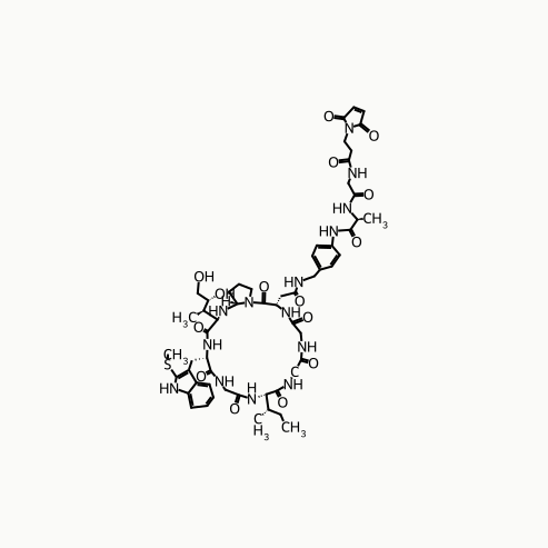 CC[C@H](C)[C@@H]1NC(=O)CNC(=O)[C@H](Cc2c(SC)[nH]c3ccccc23)NC(=O)[C@H]([C@@H](C)[C@@H](O)CO)N[C@@H]2CCCN2C(=O)[C@H](CC(=O)NCc2ccc(NC(=O)[C@H](C)NC(=O)CNC(=O)CCN3C(=O)C=CC3=O)cc2)NC(=O)CNC(=O)CNC1=O